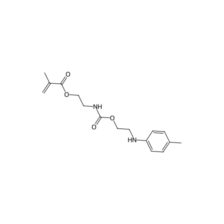 C=C(C)C(=O)OCCNC(=O)OCCNc1ccc(C)cc1